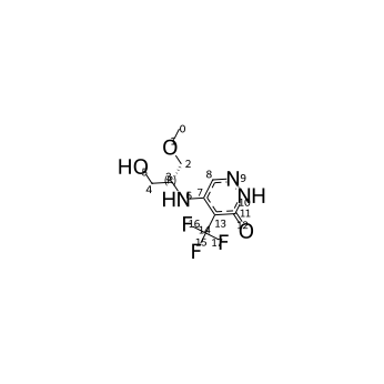 COC[C@@H](CO)Nc1cn[nH]c(=O)c1C(F)(F)F